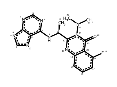 C[C@H](Nc1ncnc2[nH]cnc12)c1nc2cccc(F)c2c(=O)n1N(C)C